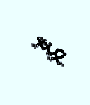 CC(C)(C)OC(=O)NC1CC[N]CC1(C)C